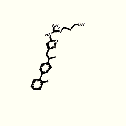 CC(Cc1cc(NC(N)=NCCCO)on1)c1ccc(-c2ccccc2F)cc1